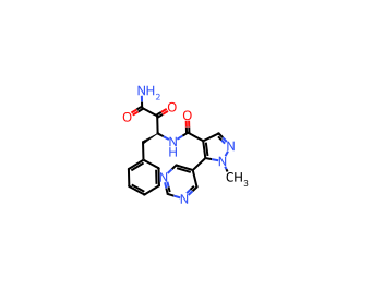 Cn1ncc(C(=O)N[C@@H](Cc2ccccc2)C(=O)C(N)=O)c1-c1cncnc1